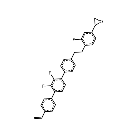 C=Cc1ccc(-c2ccc(-c3ccc(CCc4ccc(C5CO5)cc4F)cc3)c(F)c2F)cc1